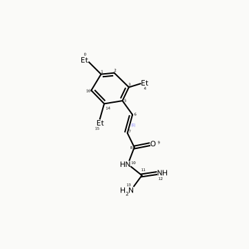 CCc1cc(CC)c(/C=C/C(=O)NC(=N)N)c(CC)c1